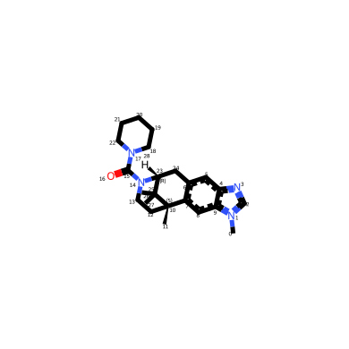 Cn1cnc2cc3c(cc21)[C@]1(C)CCN(C(=O)N2CCCCC2)[C@H](C3)C1(C)C